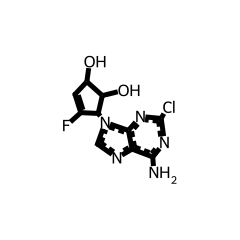 Nc1nc(Cl)nc2c1ncn2C1C(F)=CC(O)C1O